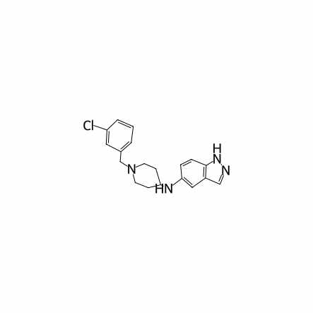 Clc1cccc(CN2CCC(Nc3ccc4[nH]ncc4c3)CC2)c1